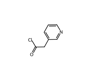 O=C(Cl)Cc1cccnc1